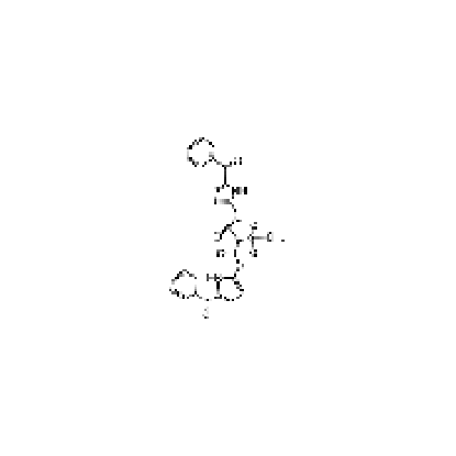 CS(=O)(=O)C(C(=O)Oc1ccc(C(=O)c2ccccc2)[nH]1)C(=O)Oc1ccc(C(=O)c2ccccc2)[nH]1